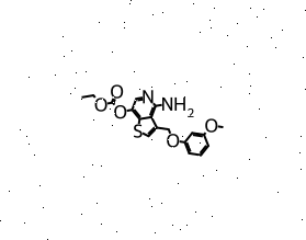 CCOC(=O)Oc1cnc(N)c2c(COc3cccc(OC)c3)csc12